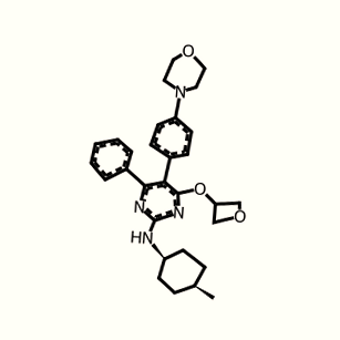 C[C@H]1CC[C@@H](Nc2nc(OC3COC3)c(-c3ccc(N4CCOCC4)cc3)c(-c3ccccc3)n2)CC1